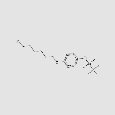 CC(C)(C)[Si](C)(C)Oc1ccc(OCCCCCCBr)cc1